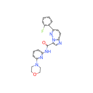 O=C(Nc1cccc(N2CCOCC2)n1)c1cnc2ccc(-c3ccccc3F)nn12